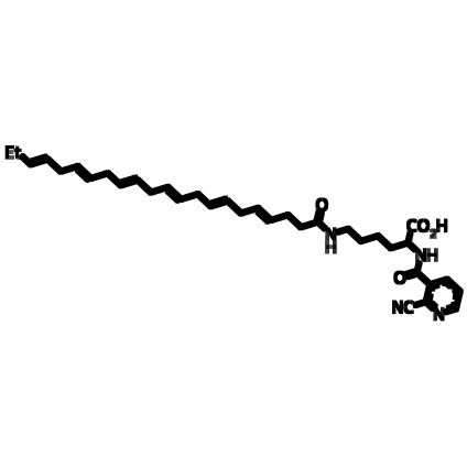 CCC=CCC=CCC=CCC=CCC=CCC=CCCC(=O)NCCCCC(NC(=O)c1cccnc1C#N)C(=O)O